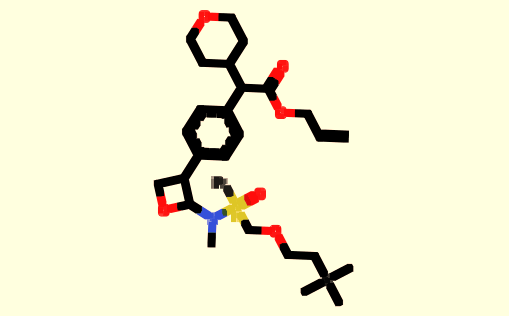 C=CCOC(=O)C(c1ccc(C2COC2N(C)[SH](=O)(COCC[Si](C)(C)C)C(C)C)cc1)C1CCOCC1